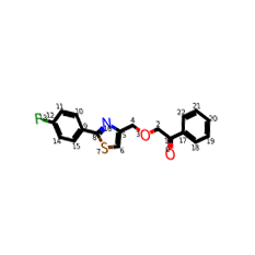 O=C(COCc1csc(-c2ccc(F)cc2)n1)c1ccccc1